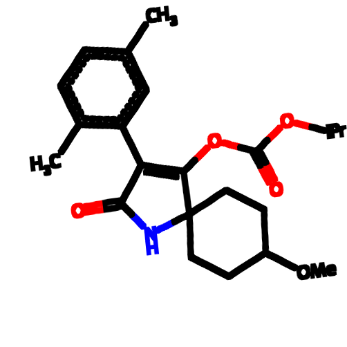 COC1CCC2(CC1)NC(=O)C(c1cc(C)ccc1C)=C2OC(=O)OC(C)C